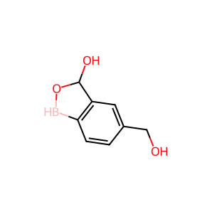 OCc1ccc2c(c1)C(O)OB2